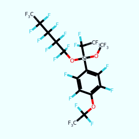 Fc1c(F)c([Si](OC(F)(F)F)(OC(F)(F)C(F)(F)C(F)(F)C(F)(F)C(F)(F)F)C(F)(F)C(F)(F)F)c(F)c(F)c1OC(F)(F)C(F)(F)F